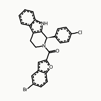 O=C(c1cc2cc(Br)ccc2o1)N1CCc2c([nH]c3ccccc23)[C@H]1c1ccc(Cl)cc1